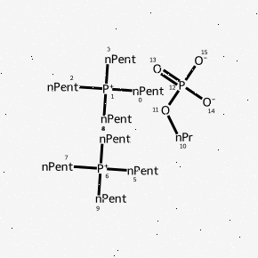 CCCCC[P+](CCCCC)(CCCCC)CCCCC.CCCCC[P+](CCCCC)(CCCCC)CCCCC.CCCOP(=O)([O-])[O-]